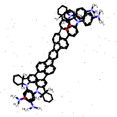 CN(C)c1ccc(N2c3ccc(-c4ccc5c6cc7c(cc6c6ccc(-c8ccc9c(c8)C8(C)CCCCC8(C)N9c8ccc(N(C)C)cc8)c4c56)c4ccc(-c5ccc6c(c5)C5(C)CCCCC5(C)N6c5ccc(N(C)C)cc5)c5c(-c6ccc8c(c6)C6(C)CCCCC6(C)N8c6ccc(N(C)C)cc6)ccc7c54)cc3C3(C)CCCCC23C)cc1